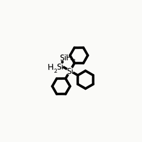 [SiH3][SiH2][Si](C1CCCCC1)(C1CCCCC1)C1CCCCC1